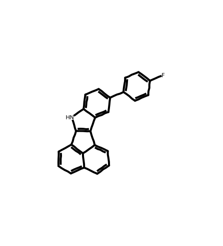 Fc1ccc(-c2ccc3[nH]c4c(c3c2)-c2cccc3cccc-4c23)cc1